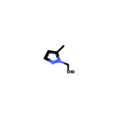 Cc1ccnn1CC=O